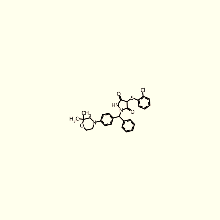 CC1(C)CN(c2ccc(C(c3ccccc3)N3NC(=O)C(Sc4ccccc4Cl)C3=O)cc2)CCO1